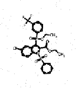 CCOC(=O)c1c(P(=O)(OCC)c2cccc(C(F)(F)F)c2)c2cc(Cl)ccc2n1S(=O)(=O)c1ccccc1